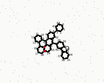 c1ccc(-c2ccc3c(-c4ccccc4-c4ccccc4)c4ccccc4c(-c4ccc5oc6ccccc6c5c4)c3c2)cc1